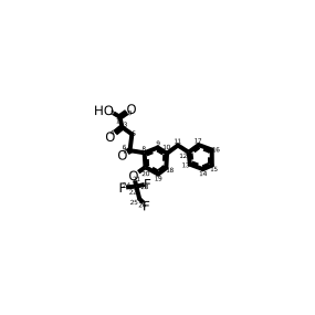 O=C(O)C(=O)CC(=O)c1cc(Cc2ccccc2)ccc1OC(F)(F)CF